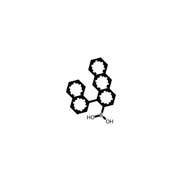 OB(O)c1ccc2cc3ccccc3cc2c1-c1cccc2ccccc12